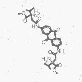 COC(=O)[C@@](N)(CC(=O)Nc1ccc2c(c1)C(=O)c1cc(NC(=O)C[C@](N)(C(=O)OC)C(C)C)ccc1C2=O)C(C)C